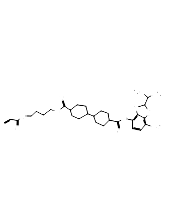 C=CC(=O)OCCCCOC(=O)C1CCC(C2CCC(C(=O)Oc3ccc(OC(C)=O)c4c3SC(C(C#N)C#N)S4)CC2)CC1